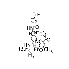 CCOC(C)(C)/C=C(\C#N)C(=O)N1CC[C@H](Cn2c(NC(=O)c3ccc(C(F)F)s3)nc3cc(CN[C@@H](C)C(C)(C)C)ccc32)C1